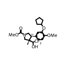 COC(=O)N1C[C@@H](c2ccc(OC)c(OC3CCCC3)c2)[C@](C)(C(O)C(F)(F)F)C1